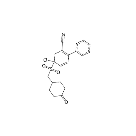 N#CC1=C(c2ccccc2)C=CC(Cl)(S(=O)(=O)CC2CCC(=O)CC2)C1